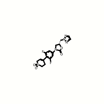 O=C1O[C@@H](Cn2nccn2)CN1c1cc(F)c(C2=CCS(=O)(=O)CC2)c(F)c1